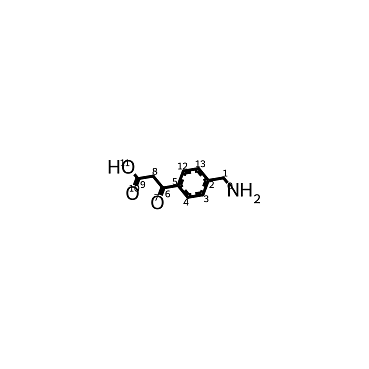 NCc1ccc(C(=O)CC(=O)O)cc1